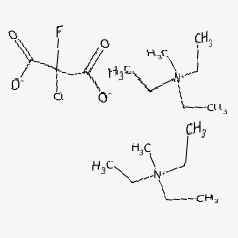 CC[N+](C)(CC)CC.CC[N+](C)(CC)CC.O=C([O-])C(F)(Cl)C(=O)[O-]